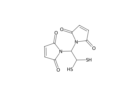 O=C1C=CC(=O)N1C(C(S)S)N1C(=O)C=CC1=O